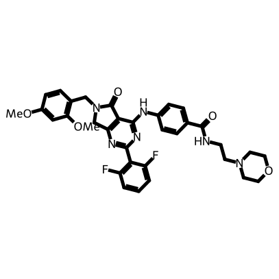 COc1ccc(CN2Cc3nc(-c4c(F)cccc4F)nc(Nc4ccc(C(=O)NCCN5CCOCC5)cc4)c3C2=O)c(OC)c1